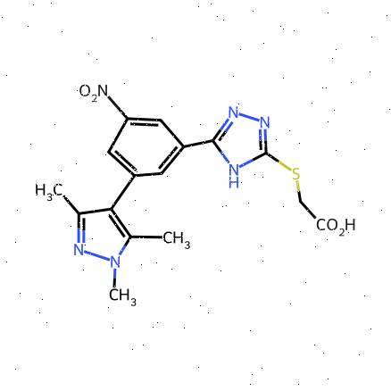 Cc1nn(C)c(C)c1-c1cc(-c2nnc(SCC(=O)O)[nH]2)cc([N+](=O)[O-])c1